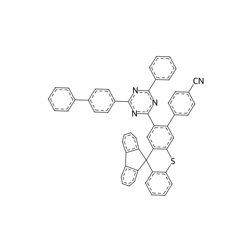 N#Cc1ccc(-c2cc3c(cc2-c2nc(-c4ccccc4)nc(-c4ccc(-c5ccccc5)cc4)n2)C2(c4ccccc4S3)c3ccccc3-c3ccccc32)cc1